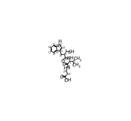 CC(C)[C@H](NC(=O)C(CS)Cc1c[nH]c2ccccc12)C(=O)NCCC(=O)O